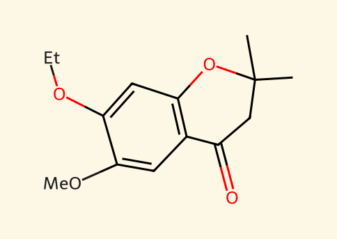 CCOc1cc2c(cc1OC)C(=O)CC(C)(C)O2